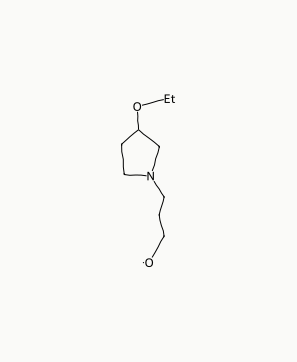 CCOC1CCN(CCC[O])C1